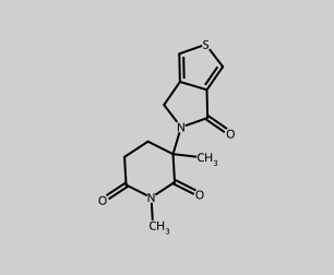 CN1C(=O)CCC(C)(N2Cc3cscc3C2=O)C1=O